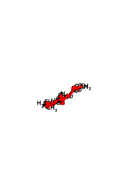 CCC1(C2=C(CN3CCN(c4ccc(C(=O)NS(=O)(=O)c5ccc(NC(CCN6CCN(C(=O)CCCCCNc7cccc8c7C(=O)N(C(C=O)CCC(=O)NC)C8=O)CC6)CSc6ccccc6)c(S(=O)(=O)C(F)(F)F)c5)cc4)CC3)CCC(C)(C)C2)CC1C(F)F